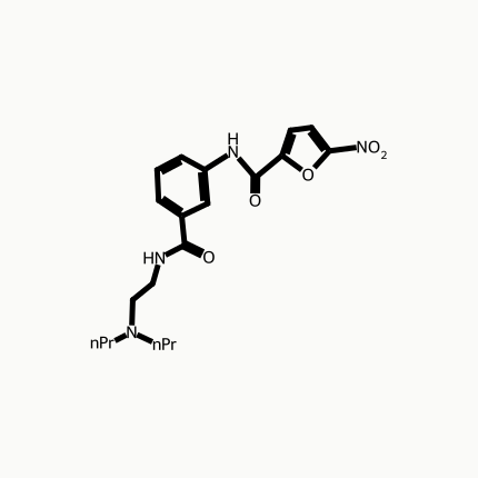 CCCN(CCC)CCNC(=O)c1cccc(NC(=O)c2ccc([N+](=O)[O-])o2)c1